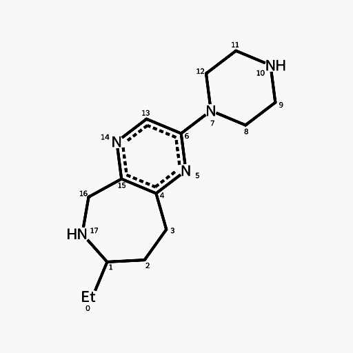 CCC1CCc2nc(N3CCNCC3)cnc2CN1